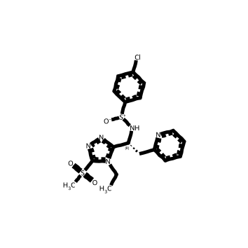 CCn1c([C@@H](Cc2ccccn2)N[S+]([O-])c2ccc(Cl)cc2)nnc1S(C)(=O)=O